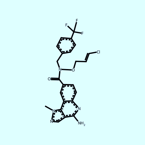 Cn1ncc2c(N)nc3ccc(C(=O)N(Cc4ccc(C(F)(F)F)cc4)OCC=CCl)cc3c21